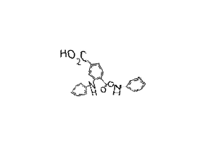 O=C(O)c1ccc(C(=O)ONc2ccccc2)c(Nc2ccccc2)c1